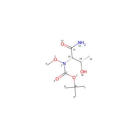 CON(C(=O)OC(C)(C)C)[C@H](C(N)=O)[C@H](C)O